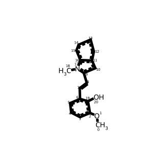 COc1cccc(C=Cc2cc3ccccc3n2C)c1O